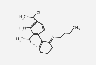 CCCCN=C1CCCC=C1c1ccc(C(C)C)c(N)c1C(C)C